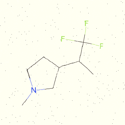 CC(C1CCN(C)C1)C(F)(F)F